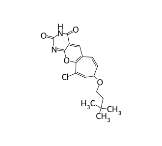 CC(C)(C)CCOC1C=Cc2cc3c(=O)[nH]c(=O)nc-3oc2C(Cl)=C1